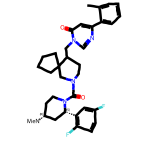 CN[C@@H]1CCN(C(=O)N2CCC(Cn3cnc(-c4ccccc4C)cc3=O)C3(CCCC3)C2)[C@H](c2cc(F)ccc2F)C1